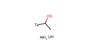 C[CH](O)[Ta].[AlH3].[LiH]